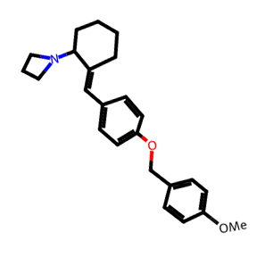 COc1ccc(COc2ccc(C=C3CCCCC3N3CCC3)cc2)cc1